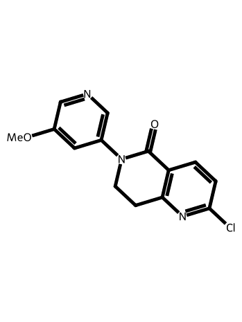 COc1cncc(N2CCc3nc(Cl)ccc3C2=O)c1